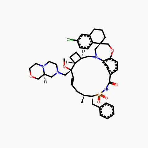 CO[C@@]1(CN2CCN3CCOC[C@@H]3C2)/C=C/C[C@H](C)[C@H](Cc2ccccc2)S(=O)(=O)NC(=O)c2ccc3c(c2)N(C[C@@H]2CC[C@H]21)C[C@@]1(CCCc2cc(Cl)ccc21)CO3